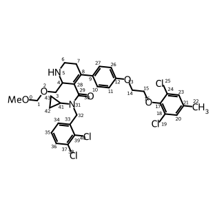 COCOCC1NCCC(c2ccc(OCCOc3c(Cl)cc(C)cc3Cl)cc2)=C1C(=O)N(Cc1cccc(Cl)c1Cl)C1CC1